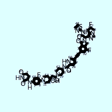 O=C1CCC(Nc2ccc(N3CCC(O)(CC(=O)N4CCC(NC(=O)c5ccc(C#Cc6cc(F)c7c(c6)C(=O)N(C(C(=O)Nc6nccs6)c6ncn8c6C[C@@H](F)C8)C7)cn5)CC4)CC3)c(F)c2)C(=O)N1